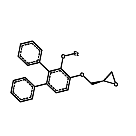 CCOc1c(OC[C@H]2CO2)ccc(-c2ccccc2)c1-c1ccccc1